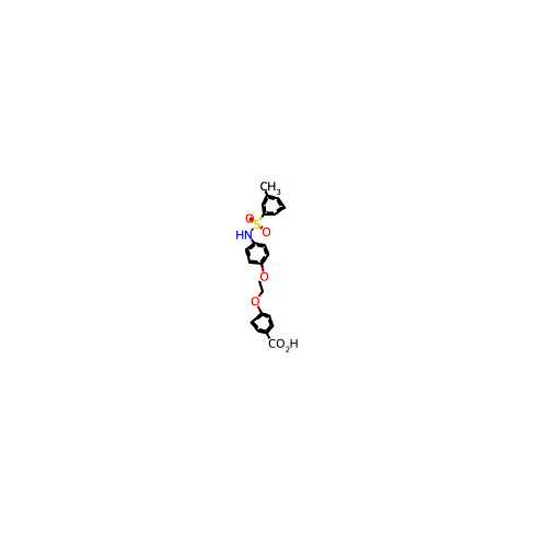 Cc1cccc(S(=O)(=O)Nc2ccc(OCCOc3ccc(C(=O)O)cc3)cc2)c1